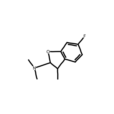 CC1c2ccc(F)cc2OC1N(C)C